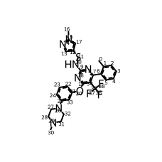 Cc1ccccc1-c1nc(NSc2cnn(C)c2)nc(Oc2cccc(N3CCN(C)CC3)c2)c1C(F)(F)F